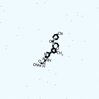 COC(=O)Nc1nc2ncc(-c3cc(C)c4c(c3)CN(C(=O)N3CCC(C#N)CC3)CCO4)cc2[nH]1